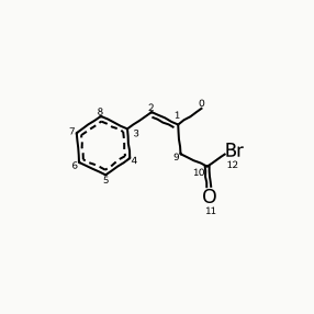 CC(=Cc1ccccc1)CC(=O)Br